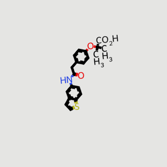 CC(C)(Oc1ccc(CC(=O)Nc2ccc3sccc3c2)cc1)C(=O)O